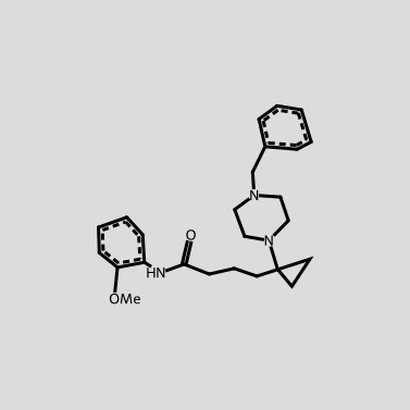 COc1ccccc1NC(=O)CCCC1(N2CCN(Cc3ccccc3)CC2)CC1